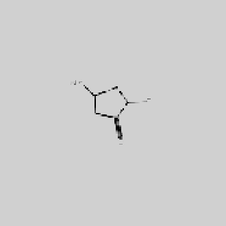 CCCC1CC(=O)C(CC)C1